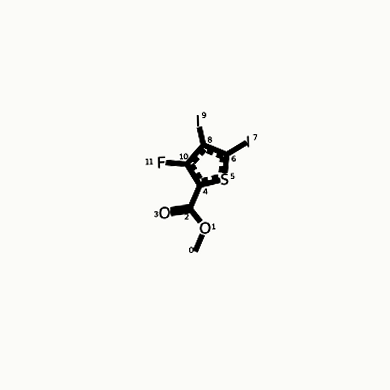 COC(=O)c1sc(I)c(I)c1F